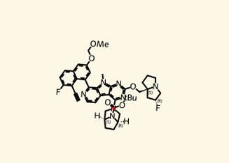 C#Cc1c(F)ccc2cc(OCOC)cc(-c3nccc4c5c(N6C[C@H]7CC[C@@H](C6)N7C(=O)OC(C)(C)C)nc(OC[C@@]67CCCN6C[C@H](F)C7)nc5n(C)c34)c12